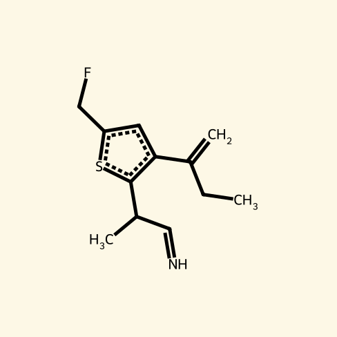 C=C(CC)c1cc(CF)sc1C(C)C=N